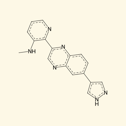 CNc1cccnc1-c1cnc2cc(-c3cn[nH]c3)ccc2n1